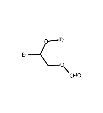 CCC(COC=O)OC(C)C